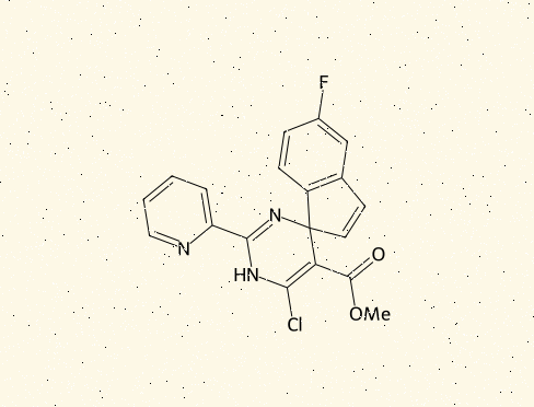 COC(=O)C1=C(Cl)NC(c2ccccn2)=NC12C=Cc1cc(F)ccc12